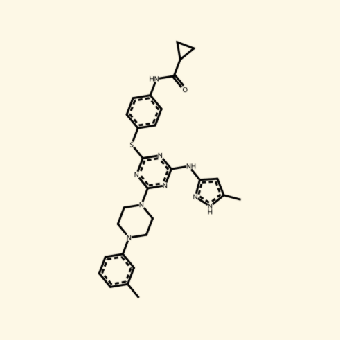 Cc1cccc(N2CCN(c3nc(Nc4cc(C)[nH]n4)nc(Sc4ccc(NC(=O)C5CC5)cc4)n3)CC2)c1